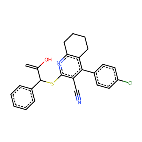 C=C(O)C(Sc1nc2c(c(-c3ccc(Cl)cc3)c1C#N)CCCC2)c1ccccc1